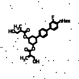 C=C(CO)C(=O)OC1CC(OC(=O)C(C)CO)CC(c2ccc(-c3ccc(CCCCCC)c(F)c3)cc2)C1